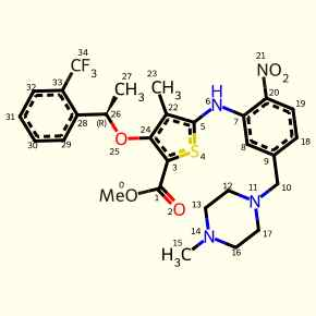 COC(=O)c1sc(Nc2cc(CN3CCN(C)CC3)ccc2[N+](=O)[O-])c(C)c1O[C@H](C)c1ccccc1C(F)(F)F